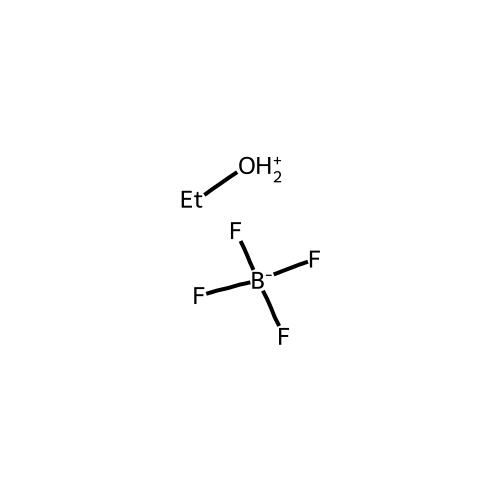 CC[OH2+].F[B-](F)(F)F